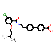 CC(C)CCOc1ccc(Cl)cc1C(=O)NCCc1ccc(-c2ccc(C(=O)O)cc2)cc1